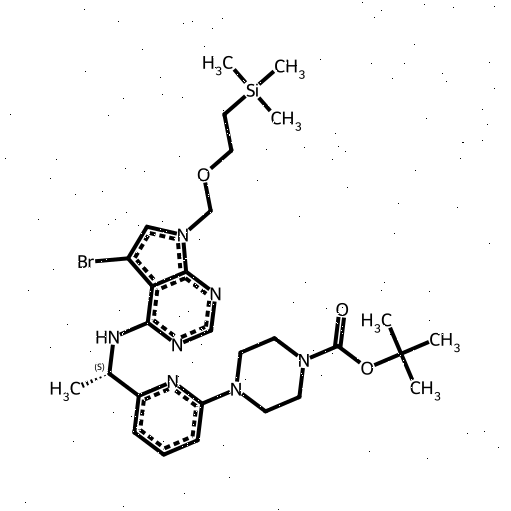 C[C@H](Nc1ncnc2c1c(Br)cn2COCC[Si](C)(C)C)c1cccc(N2CCN(C(=O)OC(C)(C)C)CC2)n1